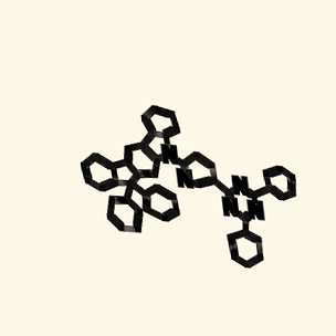 C1=CC(c2nc(-c3ccccc3)nc(-c3ccc(-n4c5ccccc5c5cc6c(cc54)C(c4ccccc4)(c4ccccc4)c4ccccc4-6)nc3)n2)=CCC1